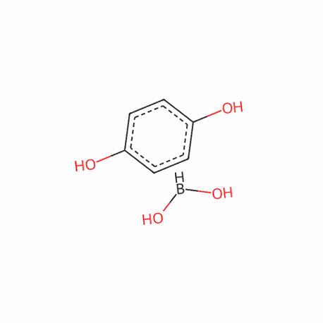 OBO.Oc1ccc(O)cc1